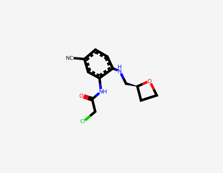 N#Cc1ccc(NC[C@@H]2CCO2)c(NC(=O)CCl)c1